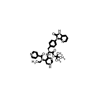 CCN(C(=O)c1ccncc1)C1=C(N[C@@H](Cc2ccc(-n3c(=O)[nH]c4cccnc43)cc2)C(=O)OC(C)(C)C)N=CNC1